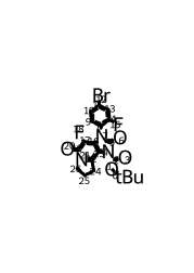 CC(C)(C)OC(=O)n1c(=O)n(-c2ccc(Br)cc2F)c2c(F)c(=O)n3c(c21)CCC3